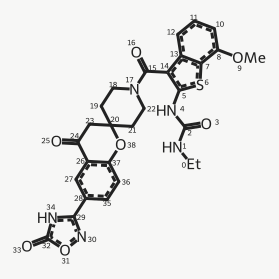 CCNC(=O)Nc1sc2c(OC)cccc2c1C(=O)N1CCC2(CC1)CC(=O)c1cc(-c3noc(=O)[nH]3)ccc1O2